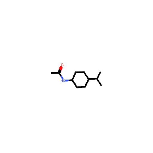 CC(=O)NC1CCC(C(C)C)CC1